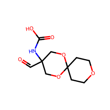 O=CC1(NC(=O)O)COC2(CCOCC2)OC1